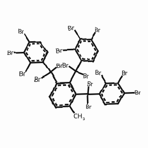 Cc1ccc(C(Br)(Br)c2ccc(Br)c(Br)c2Br)c(C(Br)(Br)c2ccc(Br)c(Br)c2Br)c1C(Br)(Br)c1ccc(Br)c(Br)c1Br